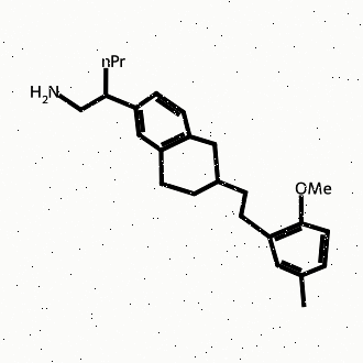 CCCC(CN)c1ccc2c(c1)CCC(CCc1cc(C)ccc1OC)C2